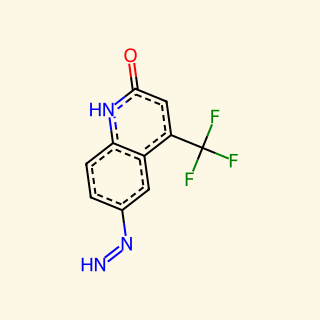 N=Nc1ccc2[nH]c(=O)cc(C(F)(F)F)c2c1